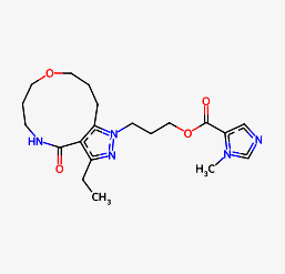 CCc1nn(CCCOC(=O)c2cncn2C)c2c1C(=O)NCCCOCCC2